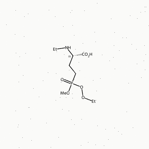 CCN[C@@H](CCP(=O)(OC)OOCC)C(=O)O